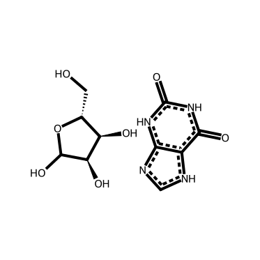 O=c1[nH]c(=O)c2[nH]cnc2[nH]1.OC[C@H]1OC(O)[C@H](O)[C@@H]1O